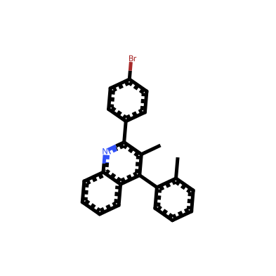 Cc1ccccc1-c1c(C)c(-c2ccc(Br)cc2)nc2ccccc12